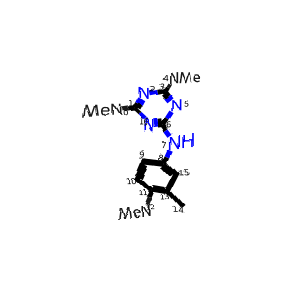 CNc1nc(NC)nc(Nc2ccc(NC)c(C)c2)n1